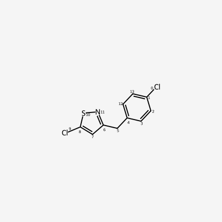 Clc1ccc(Cc2cc(Cl)sn2)cc1